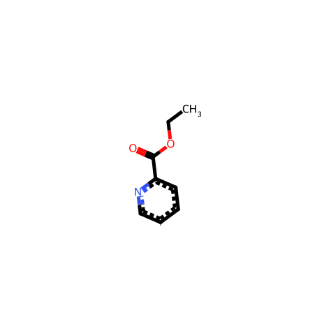 CCOC(=O)c1cc[c]cn1